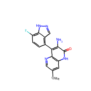 COc1cnc2c(-c3ccc(F)c4[nH]ncc34)c(N)c(=O)[nH]c2c1